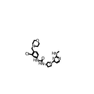 CNc1nccc(N2CC[C@H](NC(=O)Nc3ccc(CN4CCOCC4)c(Cl)c3)C2)n1